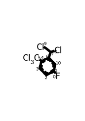 Fc1ccc(C(Cl)(Cl)Cl)c(C(Cl)Cl)c1